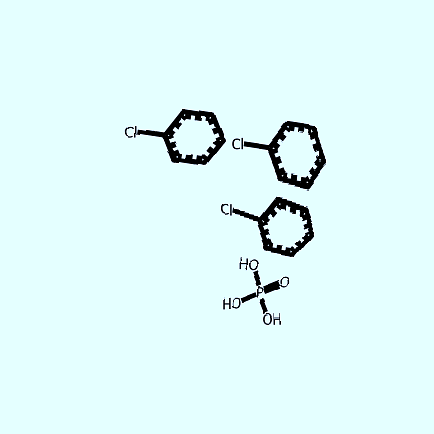 Clc1ccccc1.Clc1ccccc1.Clc1ccccc1.O=P(O)(O)O